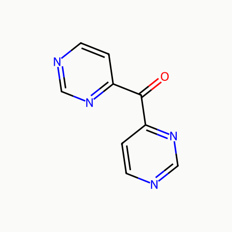 O=C(c1ccncn1)c1ccncn1